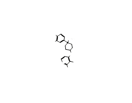 COC1(c2ccc(F)c(F)c2)CCC(Oc2ccnc(Cl)c2C(F)(F)F)CC1